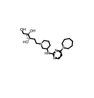 OC[C@@H](O)[C@@H](O)CCN1CCCC(Nc2nccc(N3CCCCCC3)n2)C1